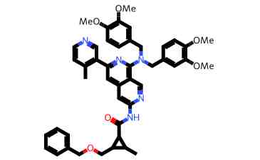 COc1ccc(CN(Cc2ccc(OC)c(OC)c2)c2nc(-c3cnccc3C)cc3cc(NC(=O)C4C(C)C4COCc4ccccc4)ncc23)cc1OC